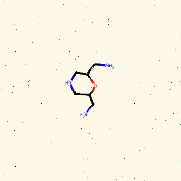 NCC1CNCC(CN)O1